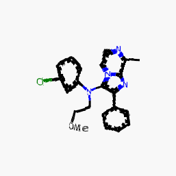 COCCN(c1cccc(Cl)c1)c1c(-c2ccccc2)nc2c(C)nccn12